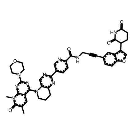 Cc1cc2c(N3CCCc4nc(-c5ccc(C(=O)NCC#Cc6ccc7occ(C8CCC(=O)NC8=O)c7c6)nc5)ncc43)nc(N3CCOCC3)nc2n(C)c1=O